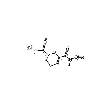 CON(C)C(=O)C1=CCCN(C(=O)OC(C)(C)C)C1